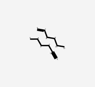 C#CCCCC.C=CCCCC